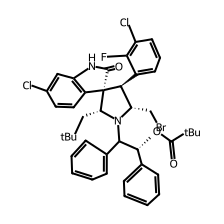 CC(C)(C)C[C@H]1N(C(c2ccccc2)[C@H](OC(=O)C(C)(C)C)c2ccccc2)[C@@H](CBr)[C@H](c2cccc(Cl)c2F)[C@@]12C(=O)Nc1cc(Cl)ccc12